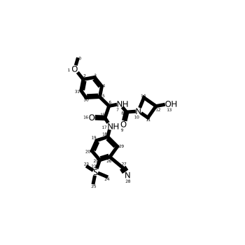 COc1ccc(C(NC(=O)N2CC(O)C2)C(=O)Nc2ccc(S(C)(C)C)c(C#N)c2)cc1